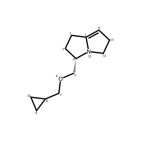 C1=C2CC[C@@H](COCC3CC3)N2CC1